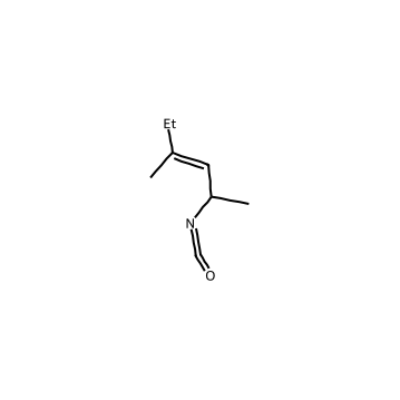 CCC(C)=CC(C)N=C=O